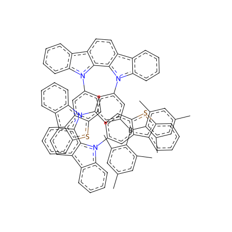 Cc1cc(C)c(B(c2cc(-n3c4ccccc4c4ccc5c6ccccc6n(-c6ccc7sc8ccccc8c7c6)c5c43)cc(-n3c4ccccc4c4ccc5c6ccccc6n(-c6ccc7sc8ccccc8c7c6)c5c43)c2)c2c(C)cc(C)cc2C)c(C)c1